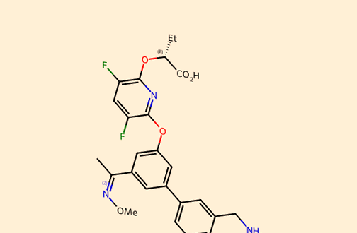 CC[C@@H](Oc1nc(Oc2cc(/C(C)=N\OC)cc(-c3cccc(CN)c3)c2)c(F)cc1F)C(=O)O